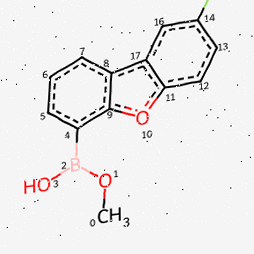 COB(O)c1cccc2c1oc1ccc(F)cc12